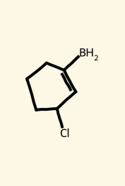 BC1=CC(Cl)CCC1